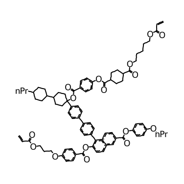 C=CC(=O)OCCCCCOC(=O)C1CCC(C(=O)Oc2ccc(C(=O)OC3(c4ccc(-c5ccc(-c6c(OC(=O)c7ccc(OCCCOC(=O)C=C)cc7)ccc7cc(C(=O)Oc8ccc(OCCC)cc8)ccc67)cc5)cc4)CCC(C4CCC(CCC)CC4)CC3)cc2)CC1